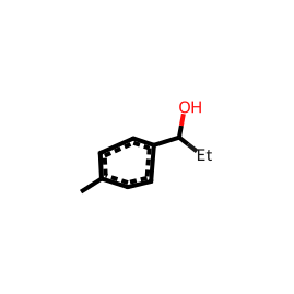 [CH2]CC(O)c1ccc(C)cc1